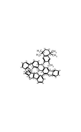 Cc1cc2c(cc1N1c3cc4c(oc5ccccc54)c4c3B(c3c1ccc1c3oc3ccccc31)n1c3c-4cccc3c3oc4ccccc4c31)C(C)(C)CCC2(C)C